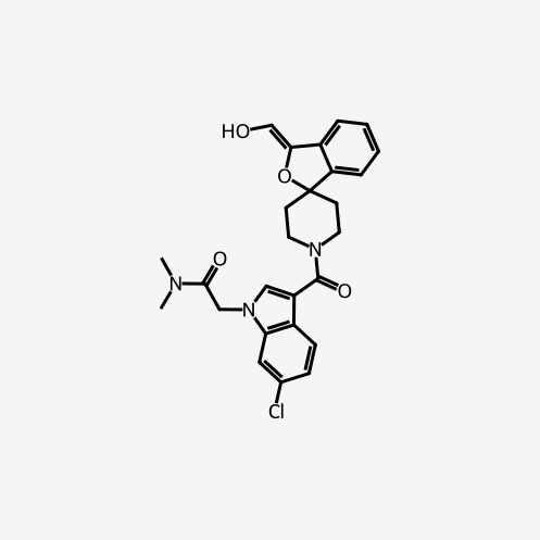 CN(C)C(=O)Cn1cc(C(=O)N2CCC3(CC2)O/C(=C\O)c2ccccc23)c2ccc(Cl)cc21